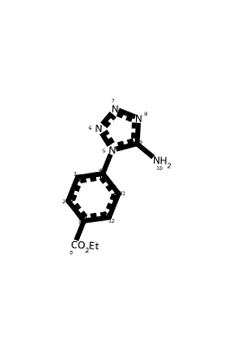 CCOC(=O)c1ccc(-n2nnnc2N)cc1